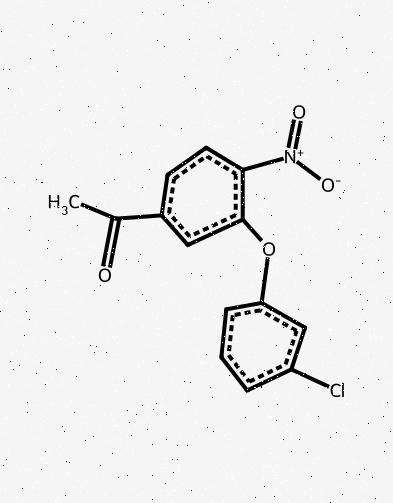 CC(=O)c1ccc([N+](=O)[O-])c(Oc2cccc(Cl)c2)c1